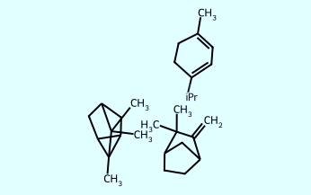 C=C1C2CCC(C2)C1(C)C.CC1(C)C2CC3C(C2)C31C.CC1=CC=C(C(C)C)CC1